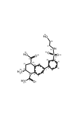 CC(=O)N1c2ccc(-c3cccc(S(=O)(=O)NCCO)c3)cc2N(C(=O)O)C[C@@H]1C